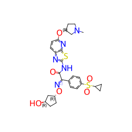 CN1CC[C@@H](Oc2ccc3nc(NC(=O)/C(=N/O[C@@H]4CC[C@@H](O)C4)c4ccc(S(=O)(=O)C5CC5)cc4)sc3n2)C1